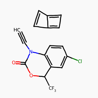 C#CN1C(=O)OC(C(F)(F)F)c2cc(Cl)ccc21.c1cc2ccc1-2